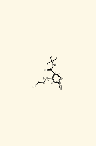 CC(C)(C)NC(=O)c1cnc(Cl)nc1NCCF